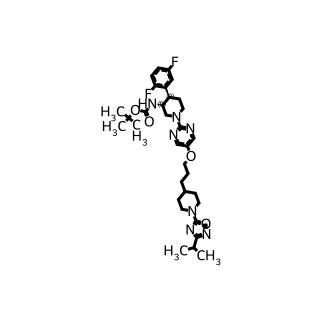 CC(C)c1noc(N2CCC(CCCOc3cnc(N4CC[C@H](c5cc(F)ccc5F)[C@@H](NC(=O)OC(C)(C)C)C4)nc3)CC2)n1